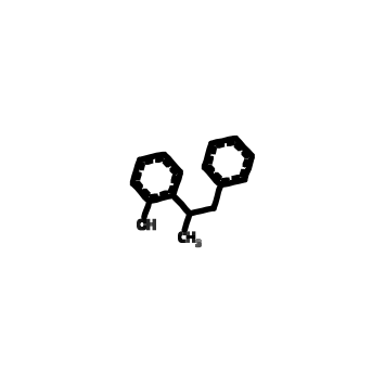 CC(Cc1ccccc1)c1ccccc1O